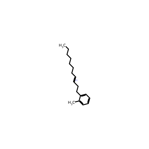 CCCCCCC/C=C/CCc1ccccc1C